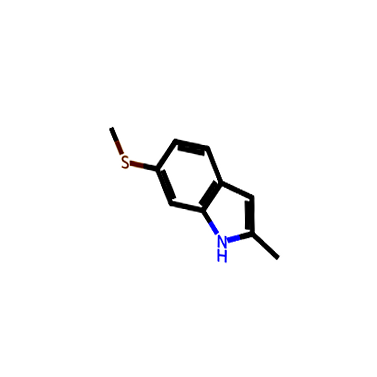 CSc1ccc2cc(C)[nH]c2c1